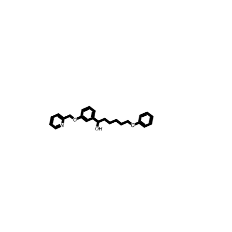 OC(CCCCCOc1ccccc1)c1cccc(OCc2ccccn2)c1